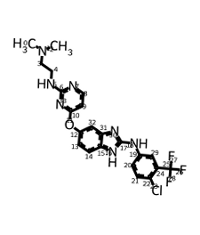 CN(C)CCNc1nccc(Oc2ccc3[nH]c(Nc4ccc(Cl)c(C(F)(F)F)c4)nc3c2)n1